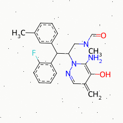 C=C1C=NN(C(CN(C)C=O)C(c2cccc(C)c2)c2ccccc2F)C(N)=C1O